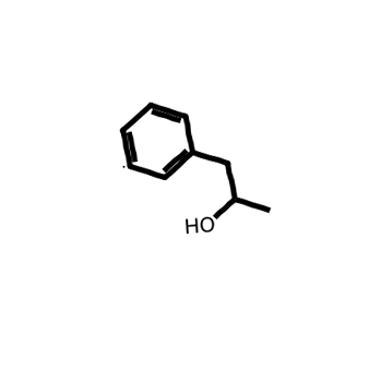 CC(O)Cc1c[c]ccc1